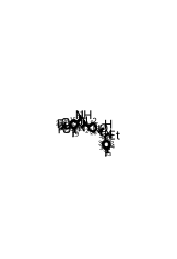 CCN[C@H](CC(=O)N1CC=C(c2nc(N)c3cc4c(c(F)c3n2)OC(F)(F)O4)CC1)c1ccc(F)cc1